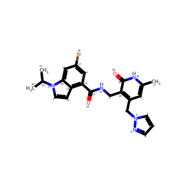 Cc1cc(Cn2cccn2)c(CNC(=O)c2cc(Br)cc3c2ccn3C(C)C)c(=O)[nH]1